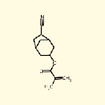 C=C(C)C(=O)OC1CC2CC(C#N)C(C2)C1